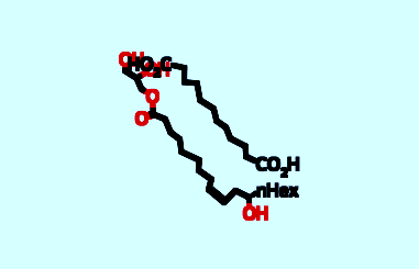 CCCCCC[C@@H](O)C/C=C\CCCCCCCC(=O)OCC(O)CO.O=C(O)CCCCCCCCCCC(=O)O